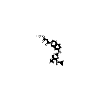 COC(=O)CC(=O)N1CCc2ccc(Nc3ncc(C(F)(F)F)c(NC4CC4)n3)cc2C1